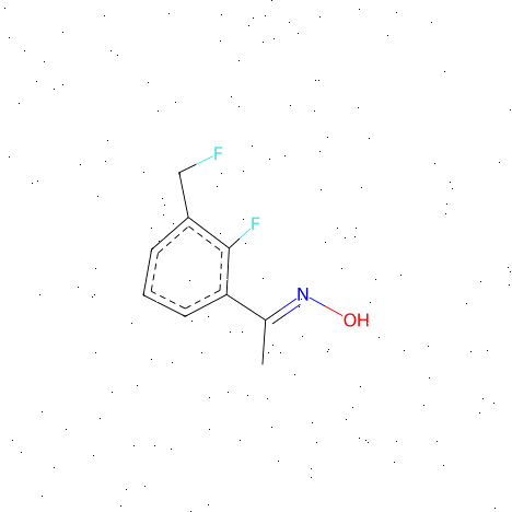 CC(=NO)c1cccc(CF)c1F